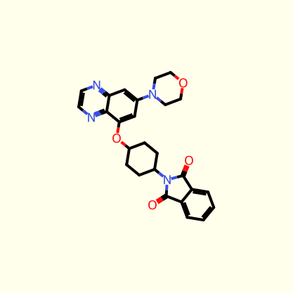 O=C1c2ccccc2C(=O)N1C1CCC(Oc2cc(N3CCOCC3)cc3nccnc23)CC1